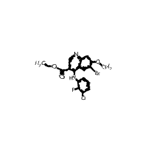 CCOC(=O)c1cnc2cc(OC)c(Br)cc2c1Nc1cccc(Cl)c1F